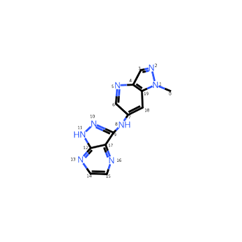 Cn1ncc2ncc(Nc3n[nH]c4nccnc34)cc21